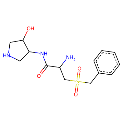 NC(CS(=O)(=O)Cc1ccccc1)C(=O)NC1CNCC1O